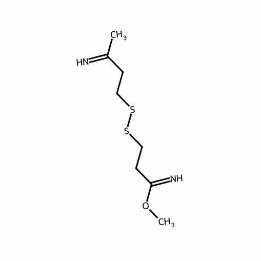 COC(=N)CCSSCCC(C)=N